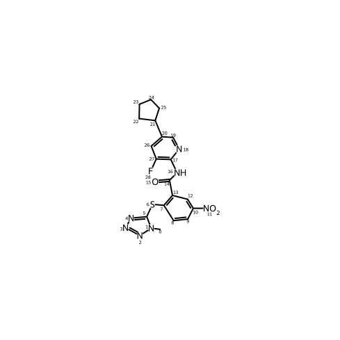 Cn1nnnc1Sc1ccc([N+](=O)[O-])cc1C(=O)Nc1ncc(C2CCCC2)cc1F